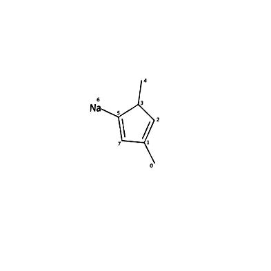 CC1=CC(C)[C]([Na])=C1